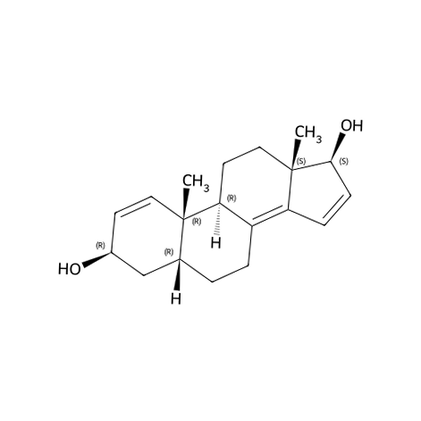 C[C@]12C=C[C@H](O)C[C@H]1CCC1=C3C=C[C@H](O)[C@@]3(C)CC[C@@H]12